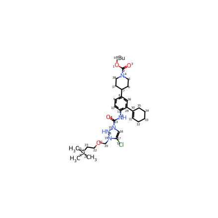 CC(C)(C)OC(=O)N1CCC(c2ccc(NC(=O)N3C=C(Cl)N(COCC[Si](C)(C)C)N3)c(C3=CCCCC3)c2)CC1